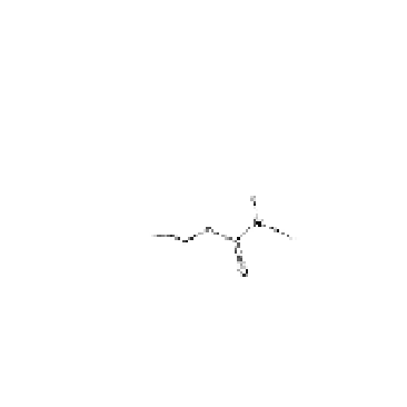 [CH2]N(C)C(=O)CCC